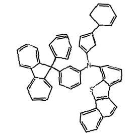 c1ccc(C2(c3cccc(N(C4=CC=C(C5C=CC=CC5)C4)c4cccc5c4sc4c6ccccc6ccc54)c3)c3ccccc3-c3ccccc32)cc#1